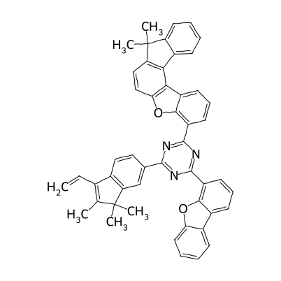 C=CC1=C(C)C(C)(C)c2cc(-c3nc(-c4cccc5c4oc4ccccc45)nc(-c4cccc5c4oc4ccc6c(c45)-c4ccccc4C6(C)C)n3)ccc21